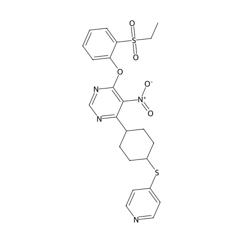 CCS(=O)(=O)c1ccccc1Oc1ncnc(C2CCC(Sc3ccncc3)CC2)c1[N+](=O)[O-]